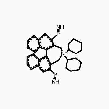 N=Pc1cc2ccccc2c2c1C[N+](C1CCCCC1)(C1CCCCC1)Cc1c(P=N)cc3ccccc3c1-2